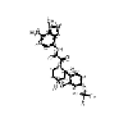 Cn1ncc2c(NC(=O)C(=O)N3CC[C@H]4C[C@@H]3c3ccc(OC(F)(F)F)cc3O4)cnc(N)c21